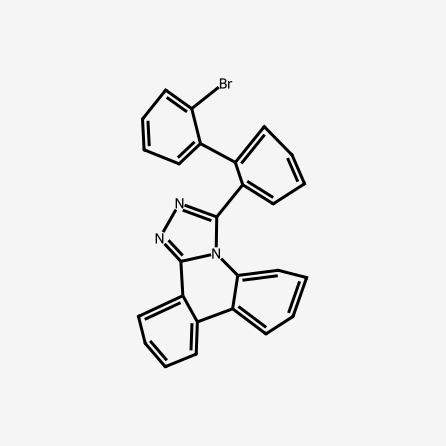 Brc1ccccc1-c1ccccc1-c1nnc2c3ccccc3c3ccccc3n12